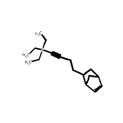 CC[Si](C#CCCC1CC2C=CC1C2)(CC)CC